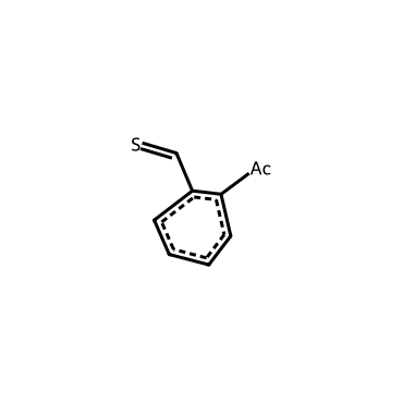 CC(=O)c1ccccc1C=S